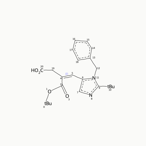 CC(C)(C)OC(=O)/C(=C\c1cnc(C(C)(C)C)n1Cc1ccccc1)CC(=O)O